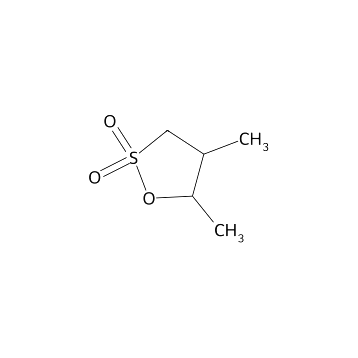 CC1CS(=O)(=O)OC1C